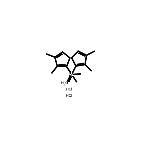 CC1=CC[C]([Zr]([CH3])([CH3])(=[SiH2])[C]2=C(C)C(C)=CC2)=C1C.Cl.Cl